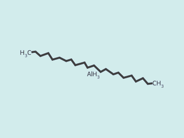 CCCCCCCCCCCCCCCCCCCCCC.[AlH3]